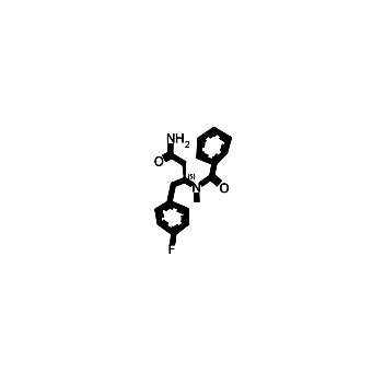 CN(C(=O)c1ccccc1)[C@H](CC(N)=O)Cc1ccc(F)cc1